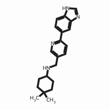 CC1(C)CCC(NCc2ccc(-c3ccc4[nH]cnc4c3)nc2)CC1